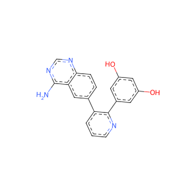 Nc1ncnc2ccc(-c3cccnc3-c3cc(O)cc(O)c3)cc12